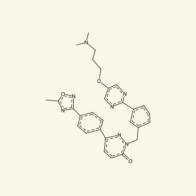 Cc1nc(-c2ccc(-c3ccc(=O)n(Cc4cccc(-c5ncc(OCCCN(C)C)cn5)c4)n3)cc2)no1